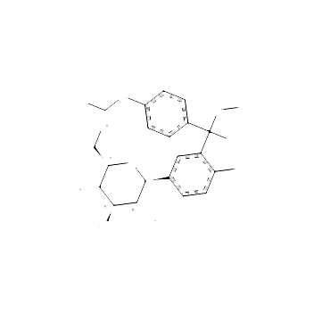 CCOc1ccc(C(C)(OC)c2cc([C@@H]3O[C@H](CO)[C@@H](O)[C@H](O)[C@H]3O)ccc2Cl)cc1